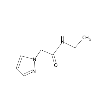 CCNC(=O)Cn1cccn1